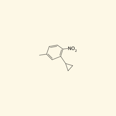 Cc1ccc([N+](=O)[O-])c(C2CC2)c1